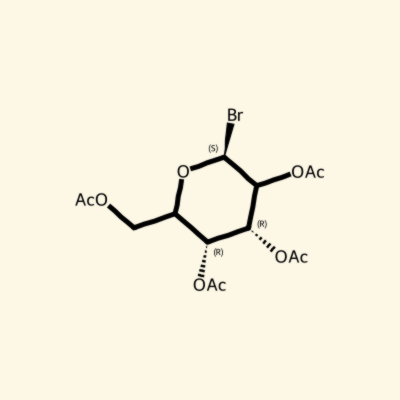 CC(=O)OCC1O[C@@H](Br)C(OC(C)=O)[C@H](OC(C)=O)[C@@H]1OC(C)=O